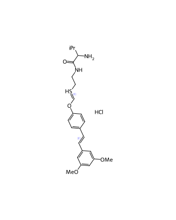 COc1cc(/C=C/c2ccc(O/C=[SH]/CCNC(=O)C(N)C(C)C)cc2)cc(OC)c1.Cl